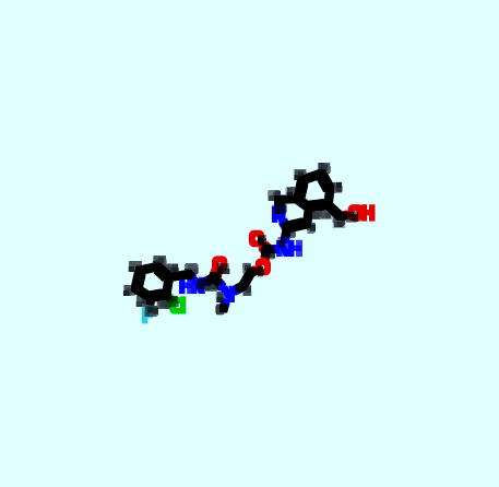 CN(CCOC(=O)Nc1cc2c(CO)cccc2cn1)C(=O)NCc1cccc(F)c1Cl